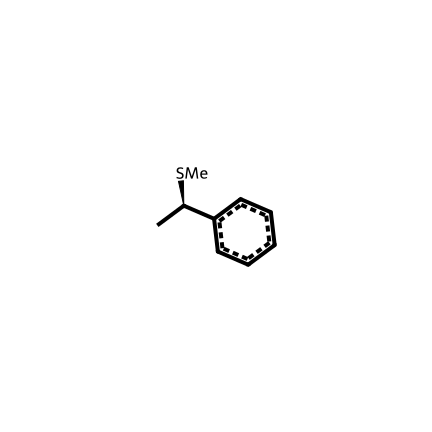 CS[C@H](C)c1ccccc1